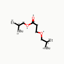 CCCCC(CC)COCCC(=O)OCC(CC)CCCC